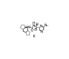 CN(C)c1cncc(S(=O)(=O)NC(=O)Nc2c3c(cc4c2CCC4)CCC3)n1.[K]